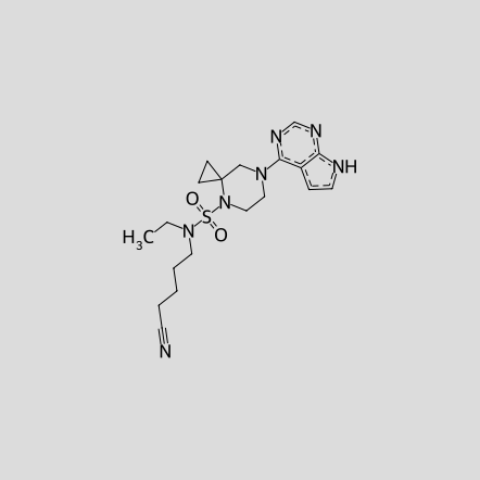 CCN(CCCCC#N)S(=O)(=O)N1CCN(c2ncnc3[nH]ccc23)CC12CC2